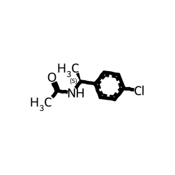 CC(=O)N[C@@H](C)c1ccc(Cl)cc1